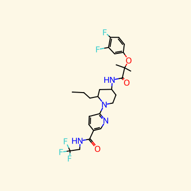 CCCC1CC(NC(=O)C(C)(C)Oc2ccc(F)c(F)c2)CCN1c1ccc(C(=O)NCC(F)(F)F)cn1